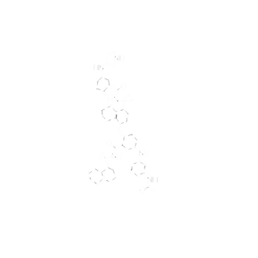 CC(=O)Nc1cccc(Nc2ccc(Cc3ccc(C4(NC(=O)c5cc(NC6CCNC6)ccc5C)CC4)c4ccccc34)c(C(=O)NC3(c4cccc5ccccc45)CC3)c2)c1